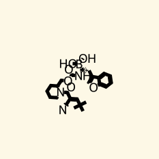 CC(C)(C)C=C(C#N)C(=O)N1CCCCC1COC(=O)N[C@@H](Cc1coc2ccccc12)B(O)O